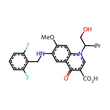 COc1cc2c(cc1NCc1c(F)cccc1F)c(=O)c(C(=O)O)cn2C(CO)C(C)C